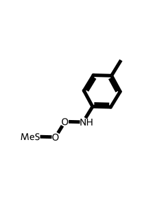 CSOONc1ccc(C)cc1